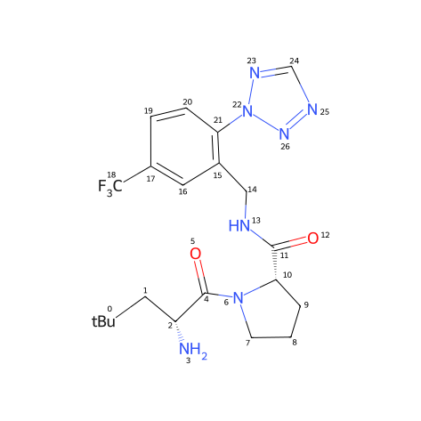 CC(C)(C)C[C@@H](N)C(=O)N1CCC[C@H]1C(=O)NCc1cc(C(F)(F)F)ccc1-n1ncnn1